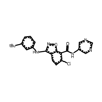 CC(C)(C)c1cccc(Nc2noc3c(C(=O)Nc4cncnc4)c(Cl)ccc23)c1